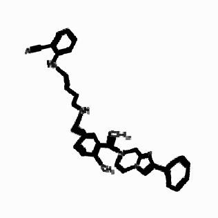 C=C(c1cc(CNCCCCNc2ccccc2C#N)ccc1C)N1CCn2cc(-c3ccccc3)nc2C1